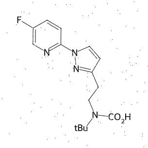 CC(C)(C)N(CCc1ccn(-c2ccc(F)cn2)n1)C(=O)O